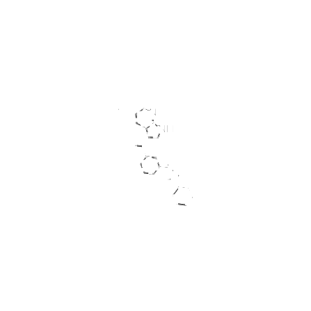 O=C(c1cccc(NS(=O)(=O)C2=CC=CCC2)c1F)c1c[nH]c2ncc(Cl)cc12